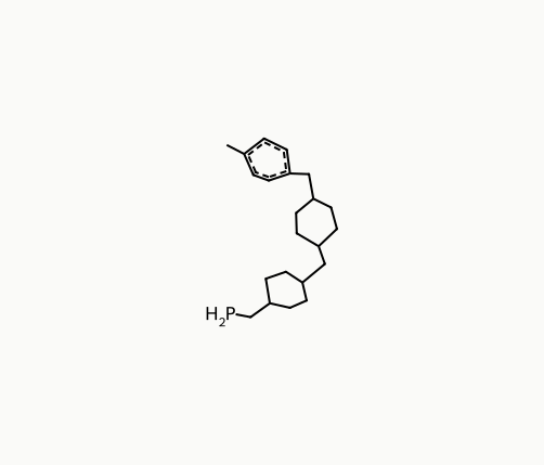 Cc1ccc(CC2CCC(CC3CCC(CP)CC3)CC2)cc1